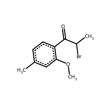 COc1cc(C)ccc1C(=O)C(C)Br